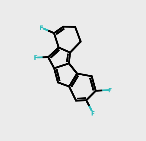 FC1=CCCC2=C3C(=Cc4cc(F)c(F)cc43)C(F)=C12